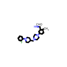 Cc1ccc(N2CCN(CC3CCN(c4ccccc4F)CC3)CC2)cc1CNC=O